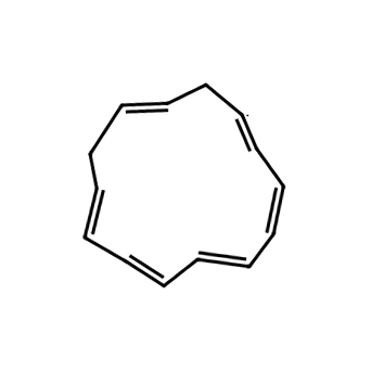 [C]1=C/C=C\C=C\C=C/C=C/C/C=C/C/1